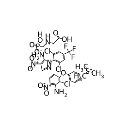 C[S+](C)C.Nc1c([N+](=O)[O-])ccc(Oc2ccccc2)c1Cl.Nc1c([N+](=O)[O-])cnn1-c1c(Cl)cc(C(F)(F)F)cc1Cl.O=C(O)CNCP(=O)([O-])O